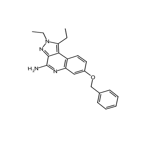 CCc1c2c(nn1CC)c(N)nc1cc(OCc3ccccc3)ccc12